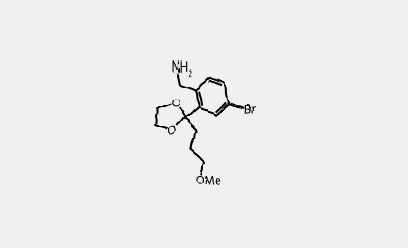 COCCCC1(c2cc(Br)ccc2CN)OCCO1